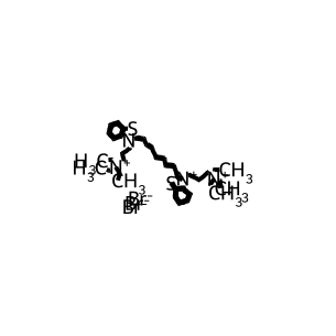 CC[N+](CC)(CC)CCCN1C(=CC=CC=CC=Cc2sc3ccccc3[n+]2CCC[N+](CC)(CC)CC)Sc2ccccc21.[Br-].[Br-].[Br-]